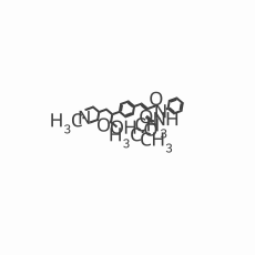 CN1CCC(CC(C(=O)O)c2ccc(C=CC(=O)N(NC(=O)OC(C)(C)C)c3ccccc3)cc2)CC1